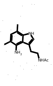 CC(=O)NCCc1c[nH]c2c(C)cc(C)c(N)c12